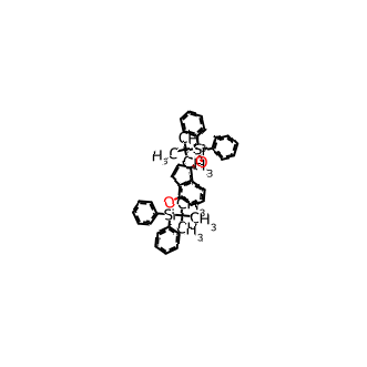 CC(C)(C)[Si](O[C]1C=Cc2c(O[Si](c3ccccc3)(c3ccccc3)C(C)(C)C)cccc21)(c1ccccc1)c1ccccc1